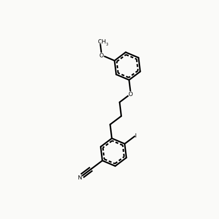 COc1cccc(OCCCc2cc(C#N)ccc2I)c1